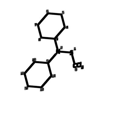 ClC(Cl)(Cl)SN(C1CCCCC1)C1CCCCC1